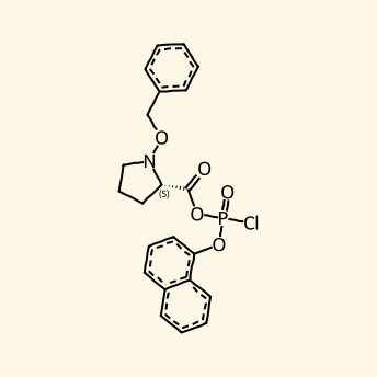 O=C(OP(=O)(Cl)Oc1cccc2ccccc12)[C@@H]1CCCN1OCc1ccccc1